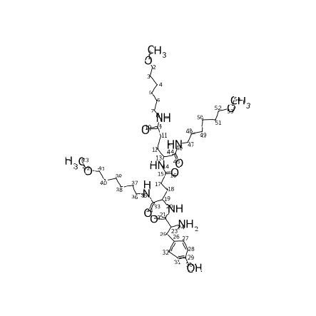 COCCCCCCNC(=O)CCC(NC(=O)CCC(NC(=O)C(N)Cc1ccc(O)cc1)C(=O)NCCCCCCOC)C(=O)NCCCCCCOC